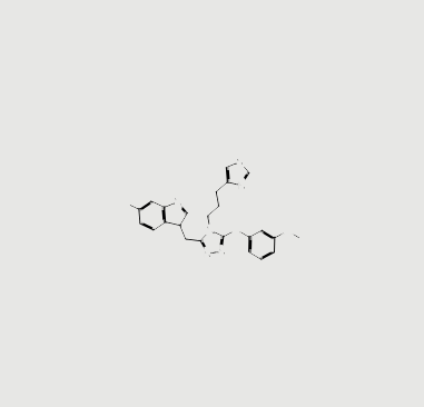 COc1cccc(Sc2nnc(CC3C=Nc4cc(F)ccc43)n2CCCc2c[nH]cn2)c1